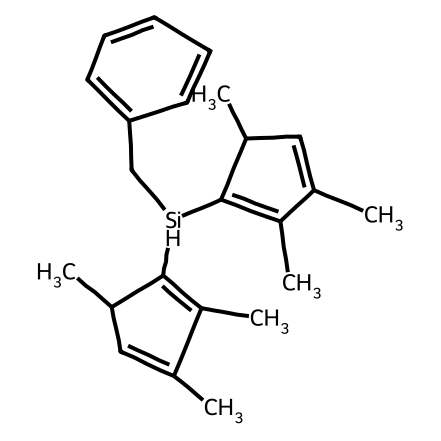 CC1=CC(C)C([SiH](Cc2ccccc2)C2=C(C)C(C)=CC2C)=C1C